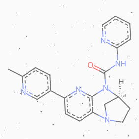 Cc1ccc(-c2ccc3c(n2)N(C(=O)Nc2ccccn2)[C@H]2CCN3C2)cn1